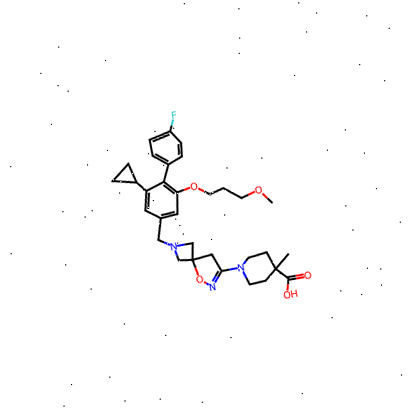 COCCCOc1cc(CN2CC3(CC(N4CCC(C)(C(=O)O)CC4)=NO3)C2)cc(C2CC2)c1-c1ccc(F)cc1